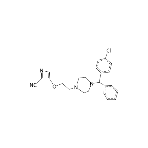 N#CC1=NC=C1OCCN1CCN(C(c2ccccc2)c2ccc(Cl)cc2)CC1